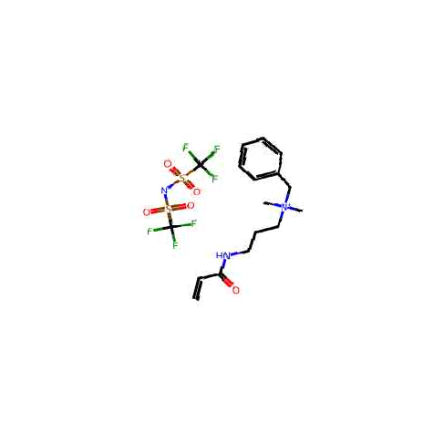 C=CC(=O)NCCC[N+](C)(C)Cc1ccccc1.O=S(=O)([N-]S(=O)(=O)C(F)(F)F)C(F)(F)F